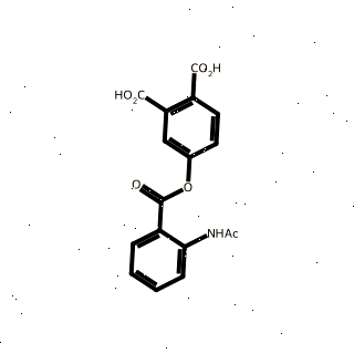 CC(=O)Nc1ccccc1C(=O)Oc1ccc(C(=O)O)c(C(=O)O)c1